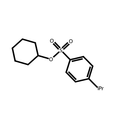 CC(C)c1ccc(S(=O)(=O)OC2CCCCC2)cc1